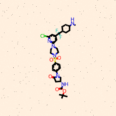 CNC1CCC(C(F)(F)c2cc(Cl)nc(N3CCN(S(=O)(=O)c4ccc(N5C[C@H](NC(=O)OC(C)(C)C)CC5=O)cc4)CC3)c2)CC1